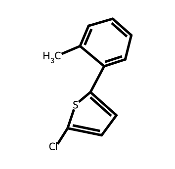 Cc1ccccc1-c1ccc(Cl)s1